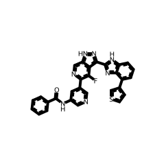 O=C(Nc1cncc(-c2ncc3[nH]nc(-c4nc5c(-c6ccsc6)cccc5[nH]4)c3c2F)c1)c1ccccc1